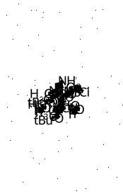 Cc1nc(N2CC(N)C2)c(C#N)cc1C(=O)OCC(C)(C)C.Cc1nc(N2CC(NC(=O)NS(=O)(=O)c3ccc(Cl)s3)C2)c(C#N)cc1C(=O)OCC(C)(C)C.O=C(O)C(F)(F)F.O=C(O)C(F)(F)F